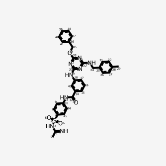 CC(=N)NS(=O)(=O)c1ccc(NC(=O)c2cccc(Nc3nc(NCc4ccc(C)cc4)nc(OCc4ccccc4)n3)c2)cc1